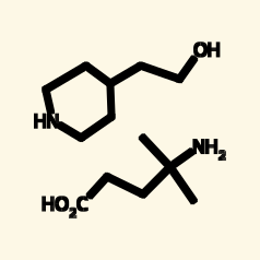 CC(C)(N)CCC(=O)O.OCCC1CCNCC1